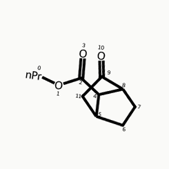 CCCOC(=O)C1C2CCC1C(=O)C2